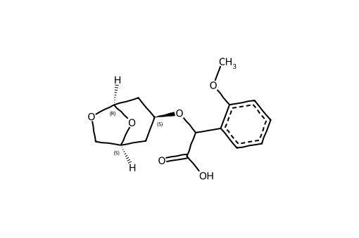 COc1ccccc1C(O[C@H]1C[C@H]2CO[C@@H](C1)O2)C(=O)O